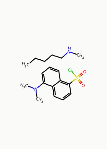 CCCCCNC.CN(C)c1cccc2c(S(=O)(=O)Cl)cccc12